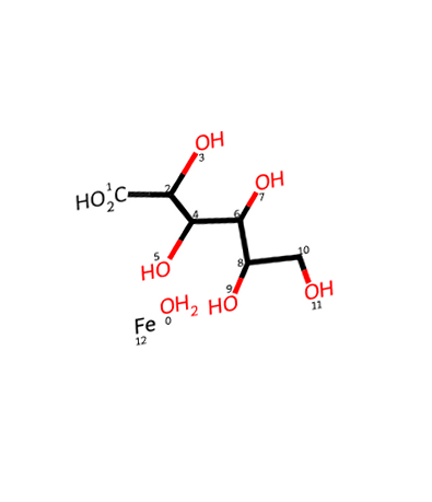 O.O=C(O)C(O)C(O)C(O)C(O)CO.[Fe]